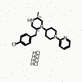 C[C@H]1CN(C2CCN(c3ccccn3)CC2)[C@@H](Cc2ccc(Cl)cc2)CN1.Cl.Cl.Cl.Cl